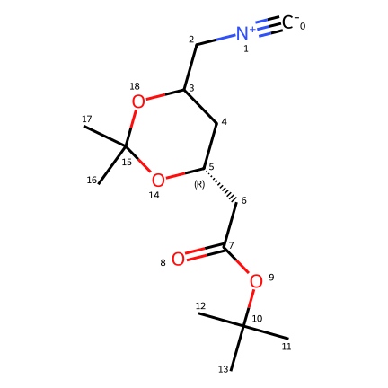 [C-]#[N+]CC1C[C@H](CC(=O)OC(C)(C)C)OC(C)(C)O1